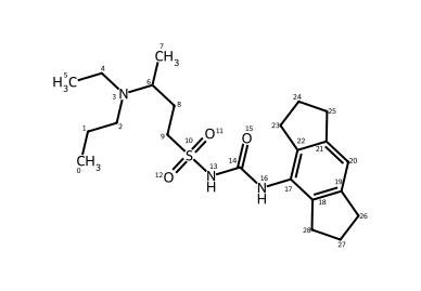 CCCN(CC)C(C)CCS(=O)(=O)NC(=O)Nc1c2c(cc3c1CCC3)CCC2